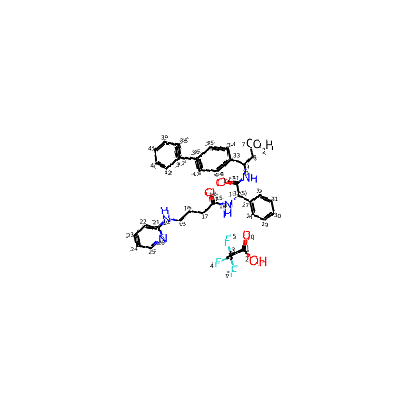 O=C(O)C(F)(F)F.O=C(O)CC(NC(=O)[C@@H](NC(=O)CCCNc1ccccn1)c1ccccc1)c1ccc(-c2ccccc2)cc1